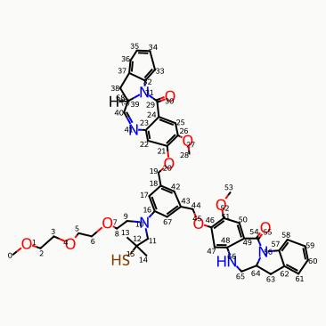 COCCOCCOCCN(CC(C)(C)S)c1cc(COc2cc3c(cc2OC)C(=O)N2c4ccccc4C[C@H]2C=N3)cc(COc2cc3c(cc2OC)C(=O)N2c4ccccc4CC2CN3)c1